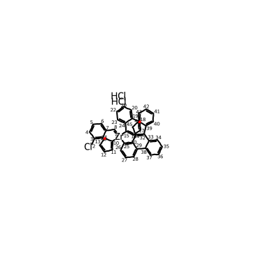 Cl.Cl.Clc1cccc([CH]=[Zr]([C]2=CC=CC2)([c]2cccc3ccccc23)[c]2cccc3c2c2c(c4ccccc43)-c3ccccc3C2)c1